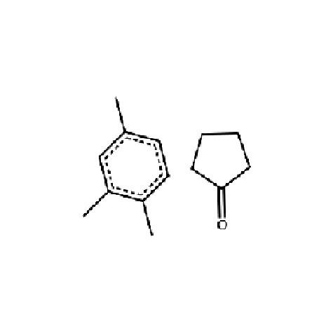 Cc1ccc(C)c(C)c1.O=C1CCCC1